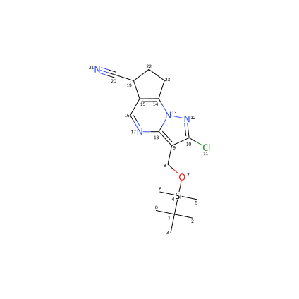 CC(C)(C)[Si](C)(C)OCc1c(Cl)nn2c3c(cnc12)C(C#N)CC3